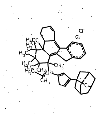 C[C](C)=[Zr+2]([C]1=CC(C23CC4CC(CC(C4)C2)C3)=CC1)[C]1(C)C2=C3Cc4ccccc4C3=C3C=CCCC3C2(C)C(C)(C)C(C)(C)C1(C)C.[Cl-].[Cl-]